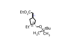 CCOC(=O)/C=C1\C[C@@H](CC)[C@@H](CO[Si](C)(C)C(C)(C)C)C1